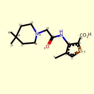 Cc1csc(C(=O)O)c1NC(=O)CN1CCC(C)(C)CC1